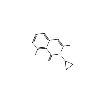 CCc1cc2cccc(C)c2c(=O)n1C1CC1